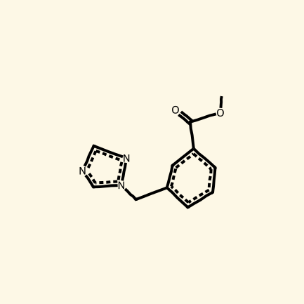 COC(=O)c1cccc(Cn2cncn2)c1